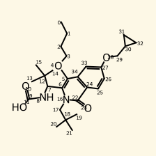 CCCCOc1c(C(NC(=O)O)C(C)(C)C)n(CC(C)(C)C)c(=O)c2ccc(OCC3CC3)cc12